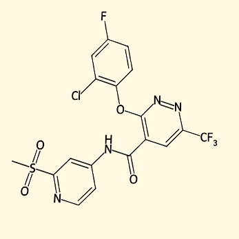 CS(=O)(=O)c1cc(NC(=O)c2cc(C(F)(F)F)nnc2Oc2ccc(F)cc2Cl)ccn1